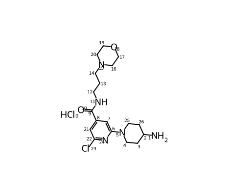 Cl.NC1CCN(c2cc(C(=O)NCCCN3CCOCC3)cc(Cl)n2)CC1